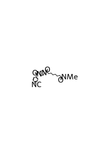 [C-]#[N+]c1ccc(C(=O)N2CCN(C(=O)CCCCCCC(=O)NC)CC2)cc1